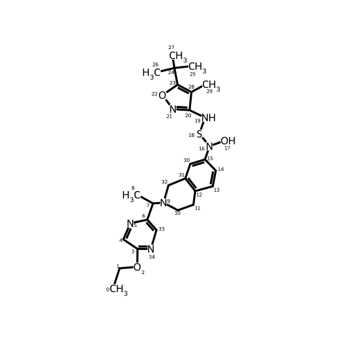 CCOc1cnc(C(C)N2CCc3ccc(N(O)SNc4noc(C(C)(C)C)c4C)cc3C2)cn1